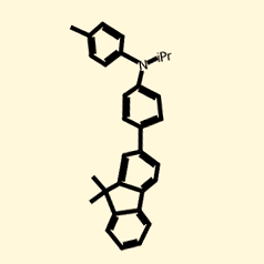 Cc1ccc(N(c2ccc(-c3ccc4c(c3)C(C)(C)c3ccccc3-4)cc2)C(C)C)cc1